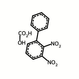 O=C(O)O.O=[N+]([O-])c1cccc(-c2ccccc2)c1[N+](=O)[O-]